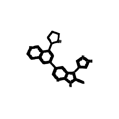 O=c1[nH]c2ncc(-c3cc(C4CCCN4)c4cnccc4c3)cc2n1-c1cn[nH]c1